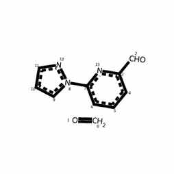 C=O.O=Cc1cccc(-n2cccn2)n1